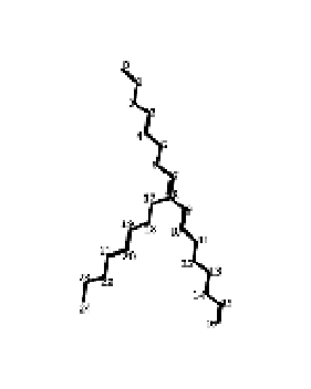 CCCCCCCC=C(CCCCCCCC)CCCCCCCC